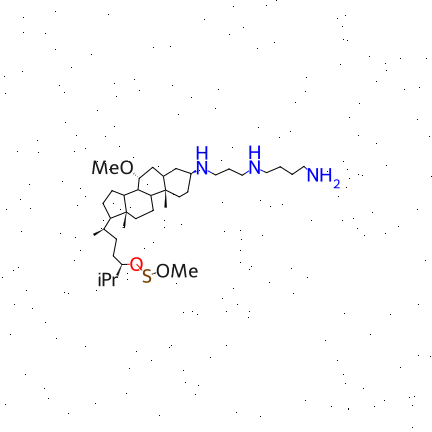 COSO[C@H](CC[C@@H](C)C1CCC2C3C(CC[C@@]21C)[C@@]1(C)CC[C@H](NCCCNCCCCN)CC1C[C@H]3OC)C(C)C